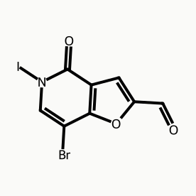 O=Cc1cc2c(=O)n(I)cc(Br)c2o1